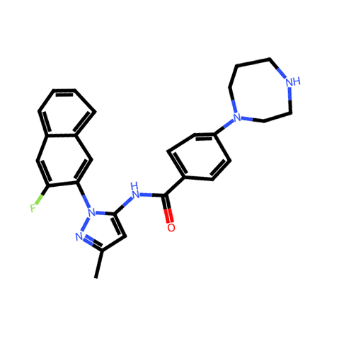 Cc1cc(NC(=O)c2ccc(N3CCCNCC3)cc2)n(-c2cc3ccccc3cc2F)n1